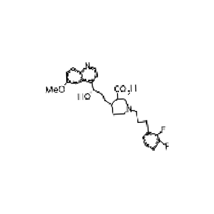 COc1ccc2nccc([C@@H](O)CC[C@@H]3CCN(CCCc4cccc(F)c4F)C[C@@H]3C(=O)O)c2c1